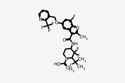 Cc1oc2c(F)cc(OCc3cccnc3C(F)(F)F)cc2c1C(=O)NC1CCN(C(=O)O)C(C(C)(C)C)C1(F)F